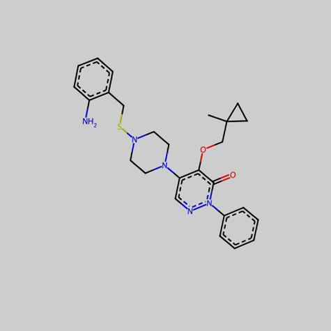 CC1(COc2c(N3CCN(SCc4ccccc4N)CC3)cnn(-c3ccccc3)c2=O)CC1